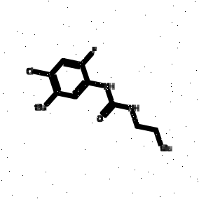 CC(C)(C)CCNC(=O)Nc1cc(C(C)(C)C)c(Cl)cc1F